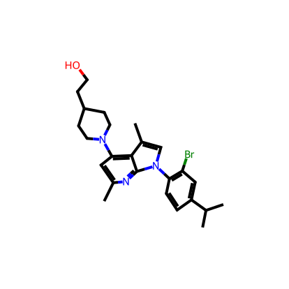 Cc1cc(N2CCC(CCO)CC2)c2c(C)cn(-c3ccc(C(C)C)cc3Br)c2n1